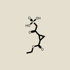 CCOC(=O)C1CC1C(=O)CP(=O)(O)O